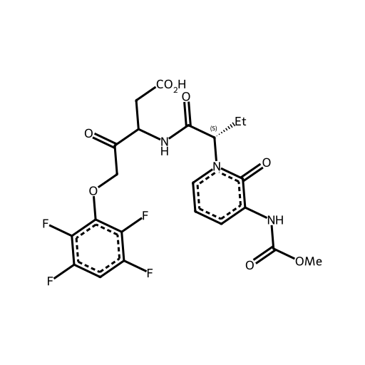 CC[C@@H](C(=O)NC(CC(=O)O)C(=O)COc1c(F)c(F)cc(F)c1F)n1cccc(NC(=O)OC)c1=O